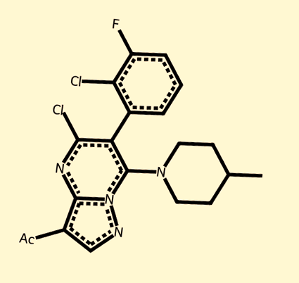 CC(=O)c1cnn2c(N3CCC(C)CC3)c(-c3cccc(F)c3Cl)c(Cl)nc12